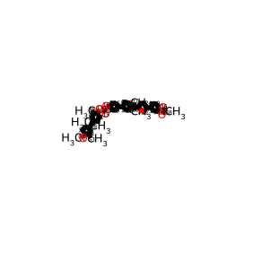 COc1ccc(C(C)(C)c2ccc(OC(=O)Oc3ccc(-c4ccc(C(C)(C)c5ccc(-c6ccc(OC(C)=O)cc6)cc5)cc4)cc3)c(C)c2)cc1C